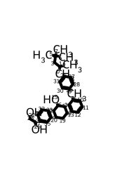 CC(C)CC(C)(C)C.Cc1ccccc1.OC1CCCCC1.OCCO.c1ccccc1.c1ccccc1